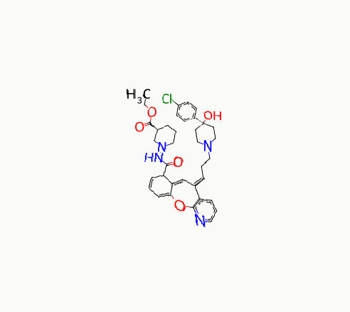 CCOC(=O)[C@H]1CCCN(NC(=O)C2C=CC=C3Oc4ncccc4C(=CCCN4CCC(O)(c5ccc(Cl)cc5)CC4)C=C32)C1